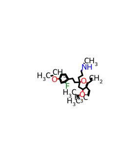 C=CC1=C(/C=C\C)C(OC(C)C)CC(CCCNCC)(CCc2ccc(OC(C)C)cc2F)O1